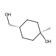 C[C@]1(O)CC[C@H](CO)CC1